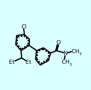 CCC(CC)c1ccc(Cl)cc1-c1cccc(C(=O)N(C)C)c1